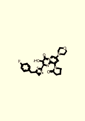 O=C1CCCN1c1cc(N2CCOCC2)cn2c(=O)c(O)c(-c3ncc(Cc4ccc(F)cc4)s3)nc12